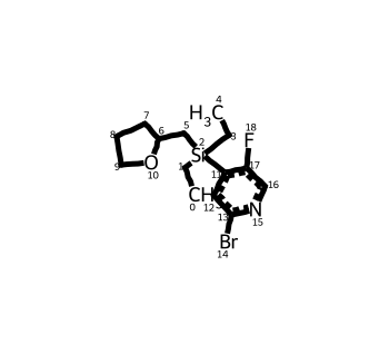 CC[Si](CC)(CC1CCCO1)c1cc(Br)ncc1F